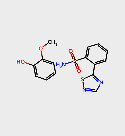 COc1ccccc1O.NS(=O)(=O)c1ccccc1-c1ncns1